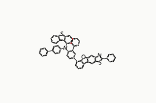 c1ccc(-c2ccc(N(c3ccc(-c4cccc5c4oc4cc6nc(-c7ccccc7)sc6cc45)cc3-c3ccccc3)c3cccc4sc5ccccc5c34)cc2)cc1